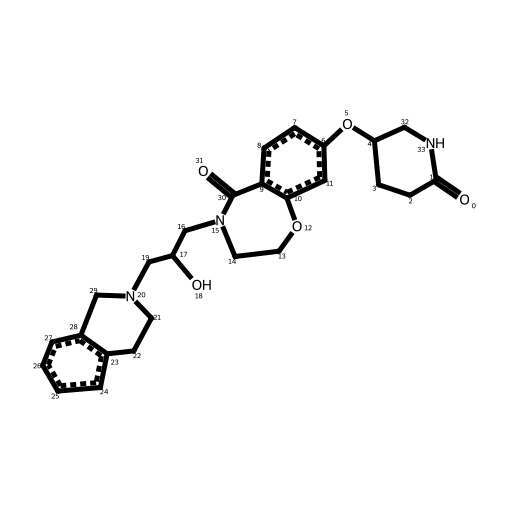 O=C1CCC(Oc2ccc3c(c2)OCCN(CC(O)CN2CCc4ccccc4C2)C3=O)CN1